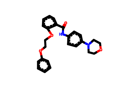 O=C(Nc1ccc(N2CCOCC2)cc1)c1ccccc1OCCOc1ccccc1